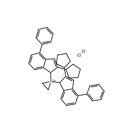 C1=C(C2CCCC2)[CH]([Ti+2]2([CH]3C(C4CCCC4)=Cc4c(-c5ccccc5)cccc43)[CH2][CH2]2)c2cccc(-c3ccccc3)c21.[Cl-].[Cl-]